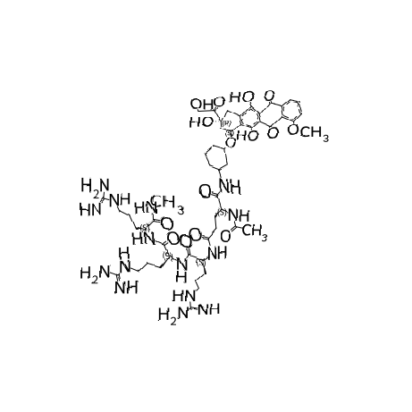 CNC(=O)[C@H](CCCNC(=N)N)NC(=O)[C@H](CCCNC(=N)N)NC(=O)[C@H](CCCNC(=N)N)NC(=O)CC[C@H](NC(C)=O)C(=O)NC1CCCC(O[C@H]2C[C@@](O)(C(=O)CO)Cc3c(O)c4c(c(O)c32)C(=O)c2c(OC)cccc2C4=O)C1